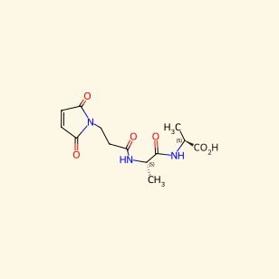 C[C@H](NC(=O)[C@H](C)NC(=O)CCN1C(=O)C=CC1=O)C(=O)O